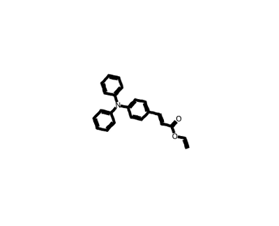 C=COC(=O)/C=C/c1ccc(N(c2ccccc2)c2ccccc2)cc1